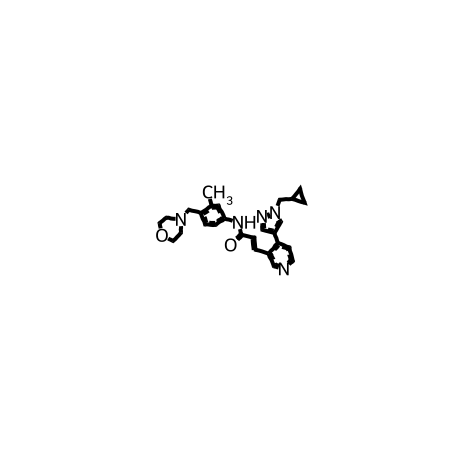 Cc1cc(NC(=O)C=Cc2cnccc2-c2cnn(CC3CC3)c2)ccc1CN1CCOCC1